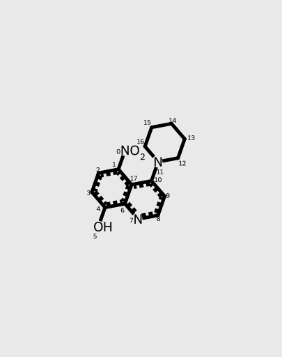 O=[N+]([O-])c1ccc(O)c2nccc(N3CCCCC3)c12